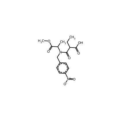 CCC(C(=O)O)C(=O)N(Cc1ccc([N+](=O)[O-])cc1)C(C)C(=O)OC